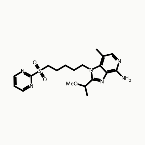 COC(C)c1nc2c(N)ncc(C)c2n1CCCCCS(=O)(=O)c1ncccn1